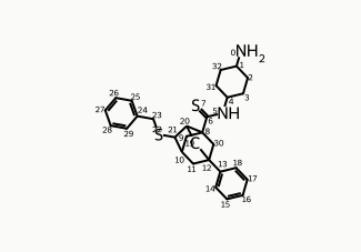 NC1CCC(NC(=S)C23CC4CC(c5ccccc5)(CC2C4SCc2ccccc2)C3)CC1